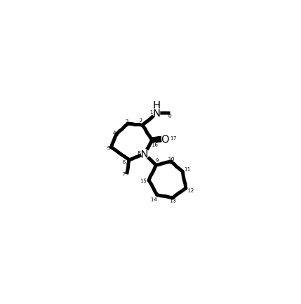 CNC1CCCC(C)N(C2CCCCCC2)C1=O